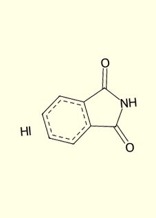 I.O=C1NC(=O)c2ccccc21